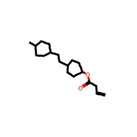 C=CCC(=O)OC1CCC(CCC2CCC(C)CC2)CC1